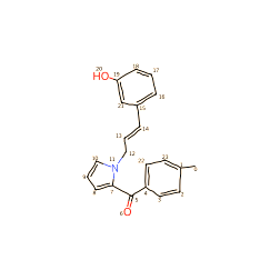 Cc1ccc(C(=O)c2cccn2C/C=C/c2cccc(O)c2)cc1